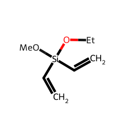 C=C[Si](C=C)(OC)OCC